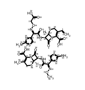 C=CC1=C(C(=O)O)N2C(=O)[C@@H](NC(=O)/C(=N\OCC(=O)O)c3csc(N)n3)[C@H]2SC1.CO/N=C(\C(=O)N[C@@H]1C(=O)N2C(C(=O)O)=C(C)CS[C@H]12)c1csc(N)n1